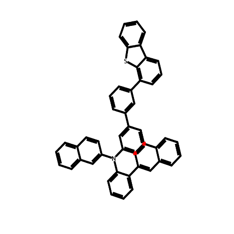 c1cc(-c2cccc(N(c3ccc4ccccc4c3)c3ccccc3-c3ccc4ccccc4c3)c2)cc(-c2cccc3c2sc2ccccc23)c1